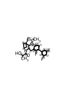 C[C@@H](O)C(=O)N1C2CC(F)(C2)C(N[S+](C)[O-])C1Cc1cccc(-c2cc(F)cc(F)c2)c1F